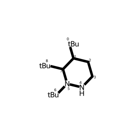 CC(C)(C)C1CCNN(C(C)(C)C)C1C(C)(C)C